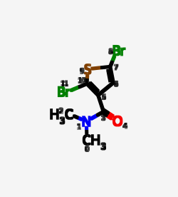 CN(C)C(=O)c1cc(Br)sc1Br